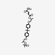 CCC(C)(C)OC(C)COc1ccc(C(C)(C)c2ccc(OCC(C)OC(=O)/C=C/C(=O)C(C)(C)C)cc2)cc1